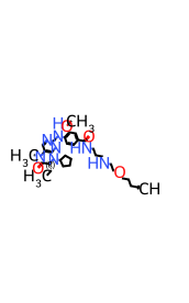 C#CCCCOCCNCCCNC(=O)c1ccc(Nc2ncc3c(n2)N(C2CCCC2)[C@H](CC)C(=O)N3C)c(OC)c1